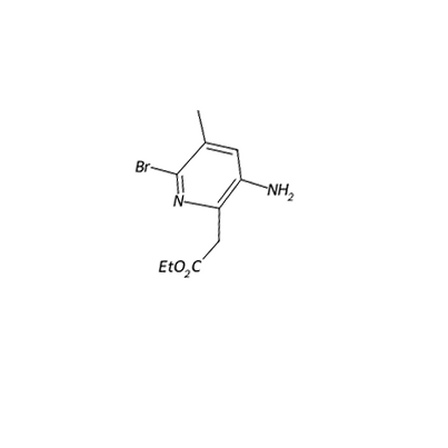 CCOC(=O)Cc1nc(Br)c(C)cc1N